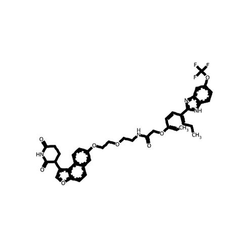 C\C=C(/C=C\C(=C\CC)c1nc2cc(OC(F)(F)F)ccc2[nH]1)OCC(=O)NCCOCCOc1ccc2c(ccc3occ(C4CCC(=O)NC4=O)c32)c1